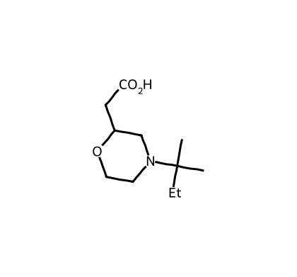 CCC(C)(C)N1CCOC(CC(=O)O)C1